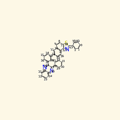 c1ccc(-c2nc3c(ccc4cc(-c5cccc(-c6nc7ccccc7nc6-c6ccccc6)c5)ccc43)s2)cc1